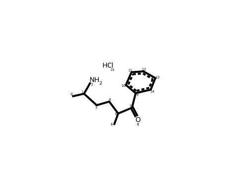 CC(N)CCC(C)C(=O)c1ccccc1.Cl